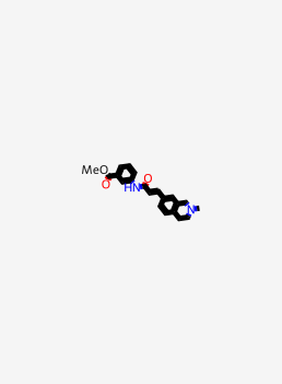 COC(=O)c1cccc(NC(=O)/C=C/c2ccc3c(c2)CN(C)CC3)c1